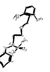 Cc1cccc(C)c1COCCN(Oc1ccccc1)P(N)(N)=O